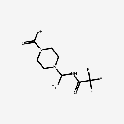 CC(NC(=O)C(F)(F)F)N1CCN(C(=O)O)CC1